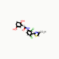 O=C(CC1=C(O)CCC(O)=C1)Nc1ccc(Cl)c(-c2nc(C(=O)O)cs2)c1Cl